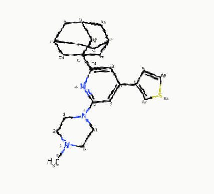 CN1CCN(c2cc(-c3ccsc3)cc(C34CC5CC(CC(C5)C3)C4)n2)CC1